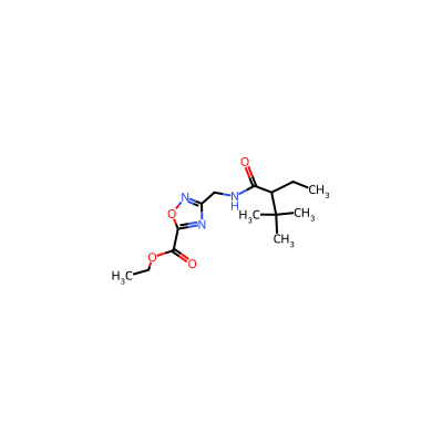 CCOC(=O)c1nc(CNC(=O)C(CC)C(C)(C)C)no1